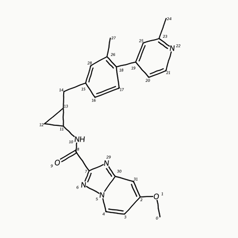 COc1ccn2nc(C(=O)NC3CC3Cc3ccc(-c4ccnc(C)c4)c(C)c3)nc2c1